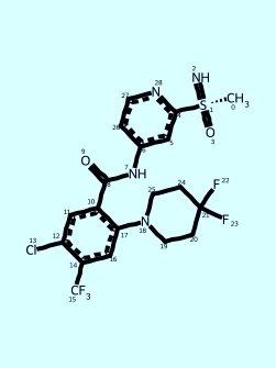 C[S@](=N)(=O)c1cc(NC(=O)c2cc(Cl)c(C(F)(F)F)cc2N2CCC(F)(F)CC2)ccn1